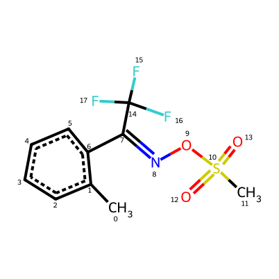 Cc1ccccc1C(=NOS(C)(=O)=O)C(F)(F)F